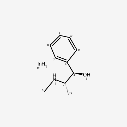 CN[C@@H](C)[C@H](O)c1ccccc1.[InH3]